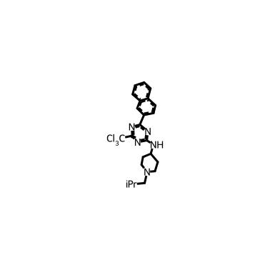 CC(C)CN1CCC(Nc2nc(-c3ccc4ccccc4c3)nc(C(Cl)(Cl)Cl)n2)CC1